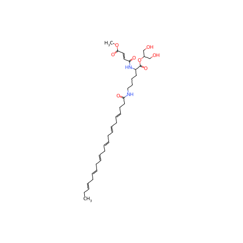 CCC=CCC=CCC=CCC=CCC=CCC=CCCC(=O)NCCCCC(NC(=O)C=CC(=O)OC)C(=O)OC(CO)CO